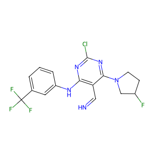 N=Cc1c(Nc2cccc(C(F)(F)F)c2)nc(Cl)nc1N1CCC(F)C1